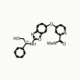 CNC(=O)c1cc(Oc2ccc3nc(N[C@H](CO)c4ccccc4)oc3c2)ccn1